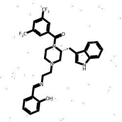 O=C(c1cc(C(F)(F)F)cc(C(F)(F)F)c1)N1CCN(CCN=Cc2ccccc2O)C[C@H]1Cc1c[nH]c2ccccc12